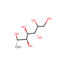 O=C[C@H](O)[C@H](O)[C@@H](O)[C@@H](O)C(O)CO